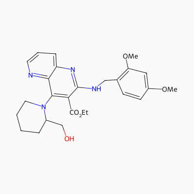 CCOC(=O)c1c(NCc2ccc(OC)cc2OC)nc2cccnc2c1N1CCCCC1CO